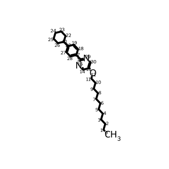 CCCCCCCCCCCCOc1cnc(-c2ccc(C3CCCCC3)cc2)nc1